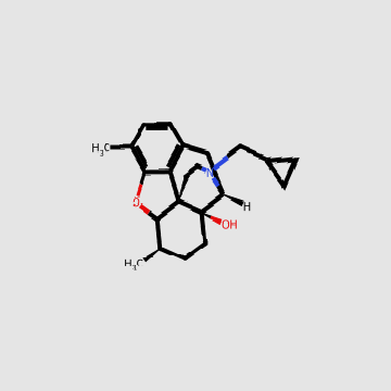 Cc1ccc2c3c1OC1[C@H](C)CC[C@@]4(O)[C@@H](C2)N(CC2CC2)CC[C@]314